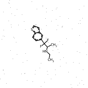 CCNC(C)C(F)(F)c1ccc2sccc2c1